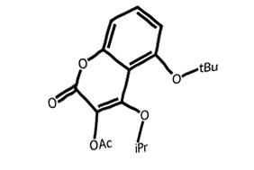 CC(=O)Oc1c(OC(C)C)c2c(OC(C)(C)C)cccc2oc1=O